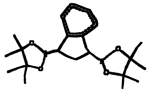 CC1(C)OB(C2CC(B3OC(C)(C)C(C)(C)O3)c3ccccc32)OC1(C)C